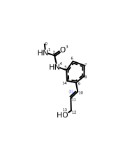 CNC(=O)Nc1cccc(/C=C/CO)c1